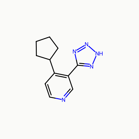 c1cc(C2CCCC2)c(-c2nn[nH]n2)cn1